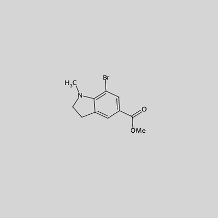 COC(=O)c1cc(Br)c2c(c1)CCN2C